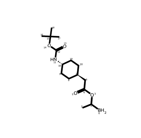 BC(C)OC(=O)C[C@H]1CC[C@H](NC(=O)OC(C)(C)C)CC1